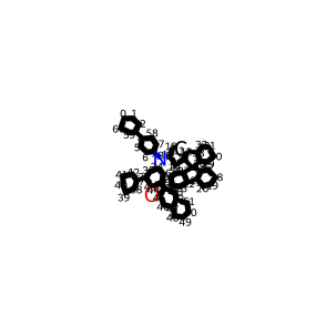 c1ccc(-c2ccc(N(c3ccc4c(c3)C3(c5ccccc5-c5ccccc53)c3ccccc3-4)c3cc(-c4ccccc4)c4oc5cc6ccccc6cc5c4c3)cc2)cc1